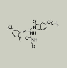 COc1ccc2c(c1)C(=O)N(CC(C#Cc1cc(Cl)ccc1F)NC(=O)NC=O)C2